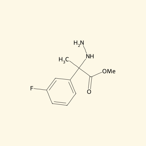 COC(=O)C(C)(NN)c1cccc(F)c1